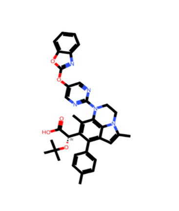 Cc1ccc(-c2c([C@H](OC(C)(C)C)C(=O)O)c(C)c3c4c2cc(C)n4CCN3c2ncc(Oc3nc4ccccc4o3)cn2)cc1